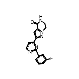 O=C1NCCn2nc(-c3ccnc(-c4cccc(F)c4)n3)cc21